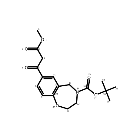 COC(=O)CC(=O)c1ccc2c(c1)CN(C(=O)OC(C)(C)C)CCO2